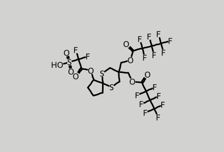 O=C(OCC1(COC(=O)C(F)(F)C(F)(F)C(F)(F)F)CSC2(CCCC2OC(=O)C(F)(F)S(=O)(=O)O)SC1)C(F)(F)C(F)(F)C(F)(F)F